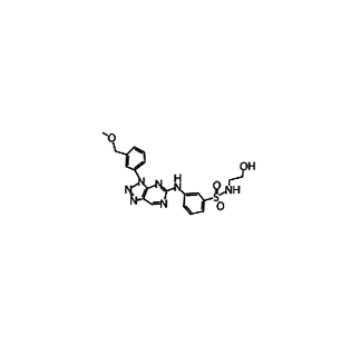 COCc1cccc(-n2nnc3cnc(Nc4cccc(S(=O)(=O)NCCO)c4)nc32)c1